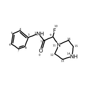 O=C(Nc1ccccc1)C(F)N1CCNCC1